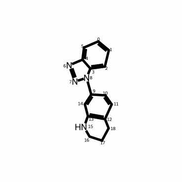 c1ccc2c(c1)nnn2-c1ccc2c(c1)NCCC2